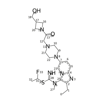 CCc1nc2ccc(N3CCN(CC(=O)N4CC(CO)C4)CC3)cn2c1N(C)C(=N)SC(C)F